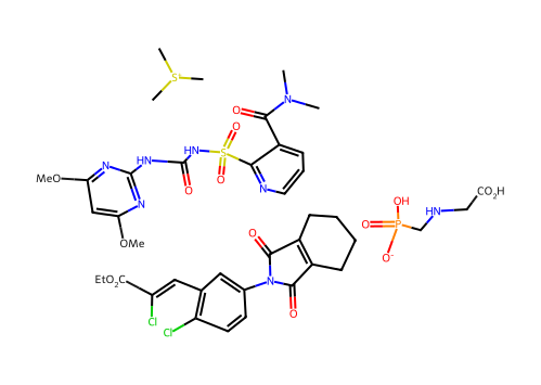 CCOC(=O)/C(Cl)=C/c1cc(N2C(=O)C3=C(CCCC3)C2=O)ccc1Cl.COc1cc(OC)nc(NC(=O)NS(=O)(=O)c2ncccc2C(=O)N(C)C)n1.C[S+](C)C.O=C(O)CNCP(=O)([O-])O